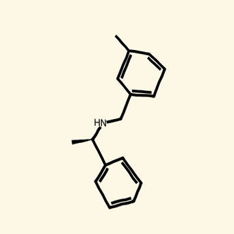 Cc1cccc(CN[C@H](C)c2ccccc2)c1